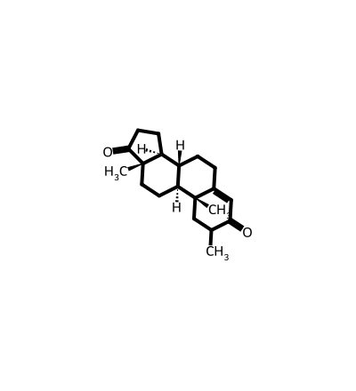 CC1C[C@@]2(C)C(=CC1=O)CC[C@@H]1[C@@H]2CC[C@]2(C)C(=O)CC[C@@H]12